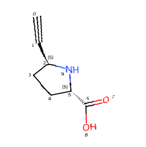 C#C[C@@H]1CC[C@@H](C(=O)O)N1